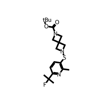 Cc1nc(C(C)(C)F)ccc1SN1CC2(C1)CN(C(=O)OC(C)(C)C)C2